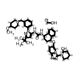 COC1CCN(Cc2cccc(-n3nc(C(C)(C)C)cc3NC(=O)N[C@H]3CC[C@@H](Oc4ccc5nnc(N6CCCCC6C)n5c4)c4ccccc43)c2)CC1.O=CO